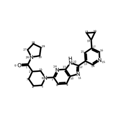 O=C(C1CCCN(c2ccc3nc(-c4cncc(C5CC5)c4)[nH]c3n2)C1)N1CCCC1